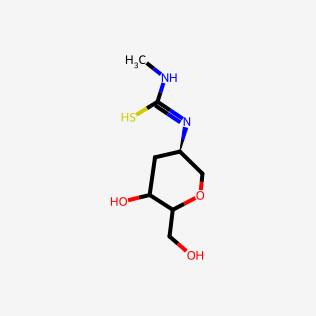 CN/C(S)=N/[C@H]1COC(CO)C(O)C1